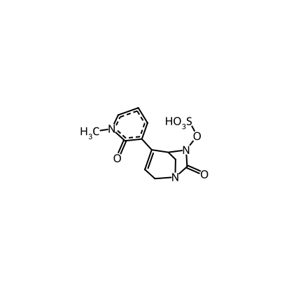 Cn1cccc(C2=CCN3CC2N(OS(=O)(=O)O)C3=O)c1=O